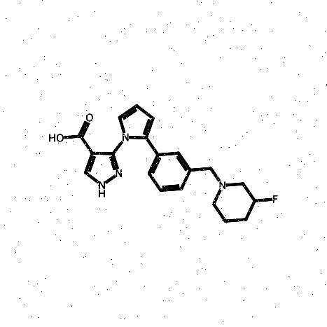 O=C(O)c1c[nH]nc1-n1cccc1-c1cccc(CN2CCCC(F)C2)c1